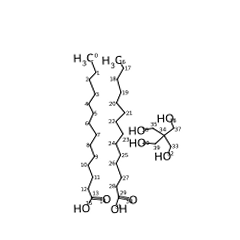 CCCCCCCCCCCCCC(=O)O.CCCCCCCCCCCCCC(=O)O.OCC(CO)(CO)CO